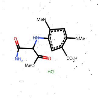 CNc1cc(NC)c(C(=O)O)cc1NC(C(N)=O)C(=O)OC.Cl